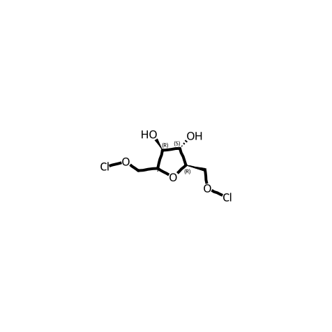 O[C@H]1[C@H](O)[C](COCl)O[C@@H]1COCl